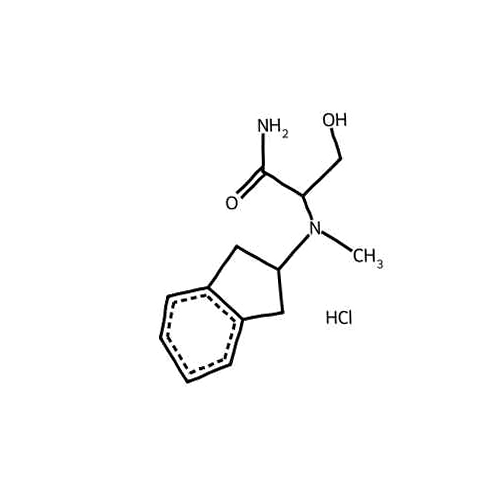 CN(C1Cc2ccccc2C1)C(CO)C(N)=O.Cl